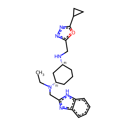 CCN(Cc1nc2ccccc2[nH]1)[C@H]1CCC[C@@H](NCc2nnc(C3CC3)o2)C1